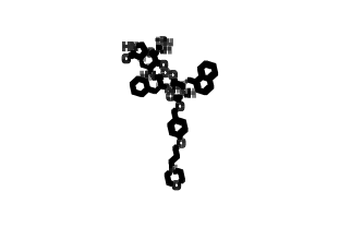 CC(C)(C)NC(=O)C(=O)[C@H](C[C@@H]1CCNC1=O)NC(=O)[C@H](CC1CCCCC1)NC(=O)[C@H](Cc1cccc2ccccc12)NC(=O)OCc1ccc(OCCCN2CCOCC2)cc1